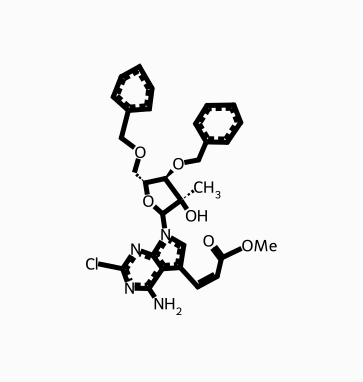 COC(=O)/C=C\c1cn(C2O[C@H](COCc3ccccc3)[C@@H](OCc3ccccc3)[C@@]2(C)O)c2nc(Cl)nc(N)c12